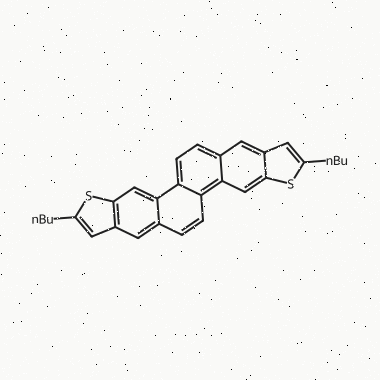 CCCCc1cc2cc3ccc4c5cc6sc(CCCC)cc6cc5ccc4c3cc2s1